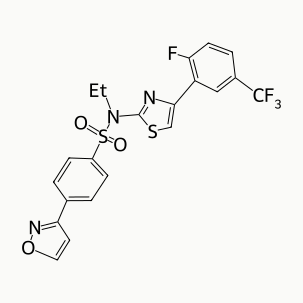 CCN(c1nc(-c2cc(C(F)(F)F)ccc2F)cs1)S(=O)(=O)c1ccc(-c2ccon2)cc1